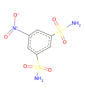 NS(=O)(=O)c1cc([N+](=O)[O-])cc(S(N)(=O)=O)c1